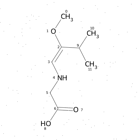 CO/C(=C/NCC(=O)O)C(C)C